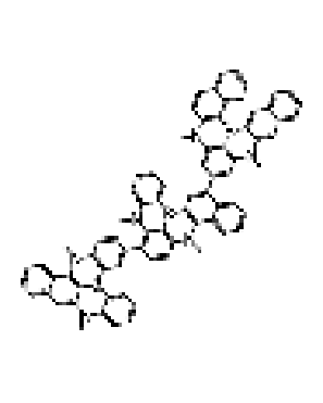 CN1c2cc3ccccc3cc2B2c3c1cc(-c1cc4c(c5ccccc15)N(C)c1ccc(-c5ccc6c(c5)B5c7ccccc7N(C)c7cc8ccccc8c(c75)N6C)c5c1B4c1ccccc1N5C)cc3N(C)c1ccc3ccccc3c12